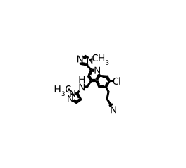 Cn1cncc1-c1cc(CNc2ccnn2C)c2cc(CCC#N)c(Cl)cc2n1